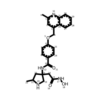 Cc1cc(COc2ccc(C(=O)NC3(CC(=O)NO)CNC(C)C3)cc2)c2ccccc2n1